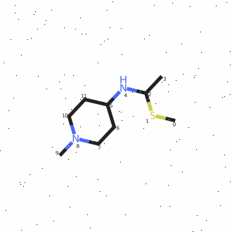 CSC(C)NC1CCN(C)CC1